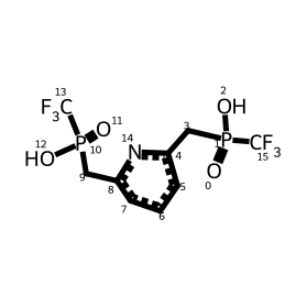 O=P(O)(Cc1cccc(CP(=O)(O)C(F)(F)F)n1)C(F)(F)F